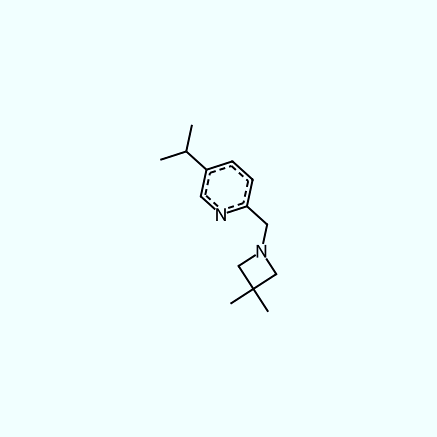 CC(C)c1ccc(CN2CC(C)(C)C2)nc1